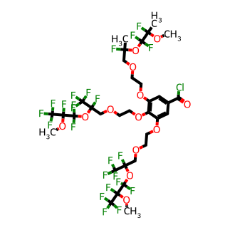 COC(C)(F)C(F)(F)OC(C)(F)COCCOc1cc(C(=O)Cl)cc(OCCOCC(F)(OC(F)(F)C(F)(OC)C(F)(F)F)C(F)(F)F)c1OCCOCC(F)(OC(F)(F)C(F)(OC)C(F)(F)F)C(F)(F)F